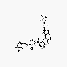 CC(C)S(=O)(=O)CCNCc1nc(-c2cc3c(Nc4ccc(OCc5cccc(F)c5)c(Cl)c4)ncnc3cc2F)cs1